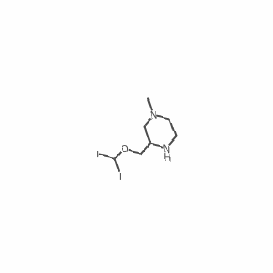 CN1CCNC(COC(I)I)C1